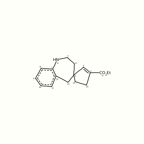 CCOC(=O)C1=CC2(CCNc3ccccc3C2)CC1